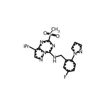 CC(C)c1cnn2c(NCc3cc(F)ccc3-n3cccn3)nc(S(C)(=O)=O)nc12